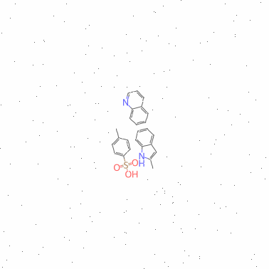 Cc1cc2ccccc2[nH]1.Cc1ccc(S(=O)(=O)O)cc1.c1ccc2ncccc2c1